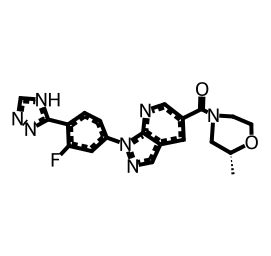 C[C@@H]1CN(C(=O)c2cnc3c(cnn3-c3ccc(-c4nnc[nH]4)c(F)c3)c2)CCO1